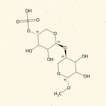 CO[C@@H]1OC[C@@H](O[C@@H]2OC[C@@H](OS(=O)(=O)O)C(O)C2O)C(O)C1O